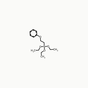 CCO[Si](CCOc1ccccc1)(OCC)OCC